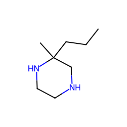 CCCC1(C)CNCCN1